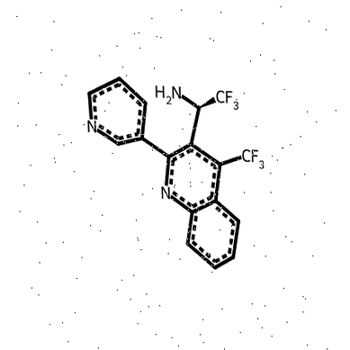 N[C@H](c1c(-c2cccnc2)nc2ccccc2c1C(F)(F)F)C(F)(F)F